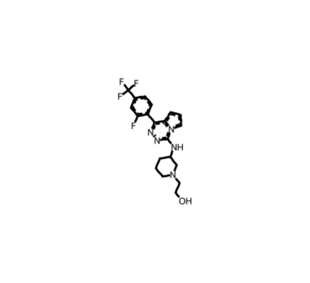 OCCN1CCCC(Nc2nnc(-c3ccc(C(F)(F)F)cc3F)c3cccn23)C1